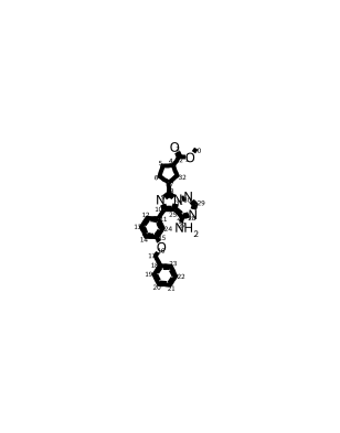 COC(=O)C1CCC(c2nc(-c3cccc(OCc4ccccc4)c3)c3c(N)ncnn23)C1